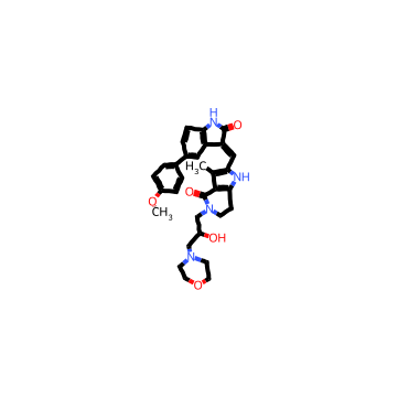 COc1ccc(-c2ccc3c(c2)C(=Cc2[nH]c4c(c2C)C(=O)N(CC(O)CN2CCOCC2)CC4)C(=O)N3)cc1